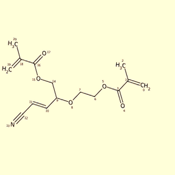 C=C(C)C(=O)OCCOC(C=CC#N)COC(=O)C(=C)C